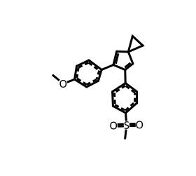 COc1ccc(C2=CC3(C=C2c2ccc(S(C)(=O)=O)cc2)CC3)cc1